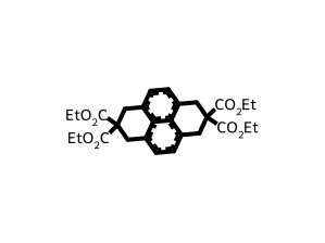 CCOC(=O)C1(C(=O)OCC)Cc2ccc3c4c(ccc(c24)C1)CC(C(=O)OCC)(C(=O)OCC)C3